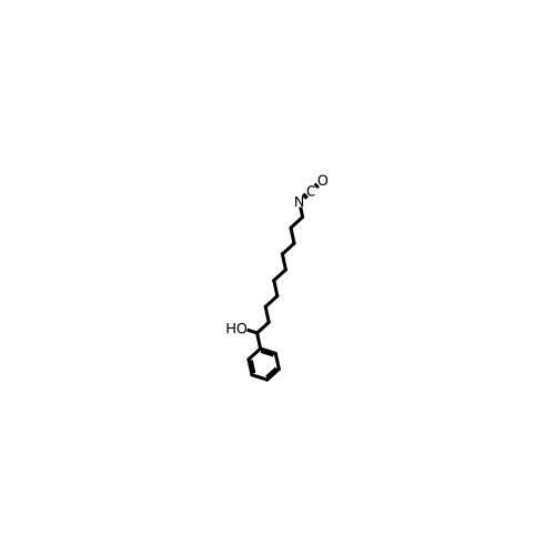 O=C=NCCCCCCCCCC(O)c1ccccc1